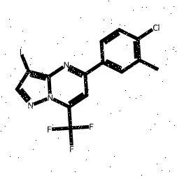 Cc1cc(-c2cc(C(F)(F)F)n3ncc(I)c3n2)ccc1Cl